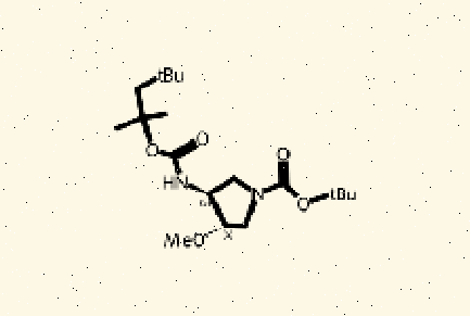 CO[C@H]1CN(C(=O)OC(C)(C)C)C[C@@H]1NC(=O)OC(C)(C)CC(C)(C)C